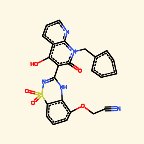 N#CCOc1cccc2c1NC(c1c(O)c3cccnc3n(Cc3ccccc3)c1=O)=NS2(=O)=O